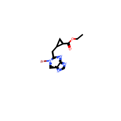 CCOC(=O)C1CC1Cc1nc2ncnc-2cn1Br